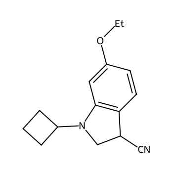 CCOc1ccc2c(c1)N(C1CCC1)CC2C#N